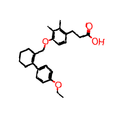 CCOc1ccc(C2=C(COc3ccc(CCC(=O)O)c(C)c3C)CCCC2)cc1